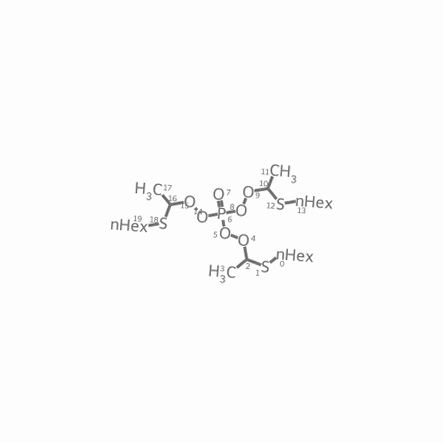 CCCCCCSC(C)OOP(=O)(OOC(C)SCCCCCC)OOC(C)SCCCCCC